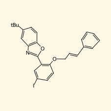 CC(C)(C)c1ccc2oc(-c3cc(I)ccc3OCC=Cc3ccccc3)nc2c1